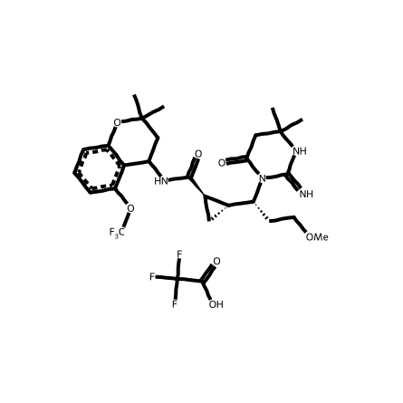 COCC[C@H]([C@@H]1C[C@H]1C(=O)NC1CC(C)(C)Oc2cccc(OC(F)(F)F)c21)N1C(=N)NC(C)(C)CC1=O.O=C(O)C(F)(F)F